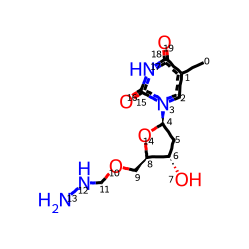 Cc1cn([C@H]2C[C@H](O)[C@@H](COCNN)O2)c(=O)[nH]c1=O